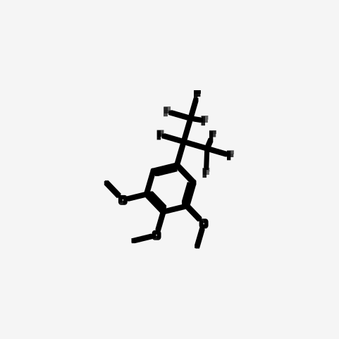 COc1cc(C(F)(C(F)(F)F)C(F)(F)F)cc(OC)c1OC